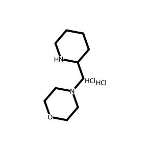 C1CCC(CN2CCOCC2)NC1.Cl.Cl